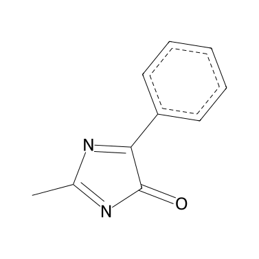 CC1=NC(=O)C(c2ccccc2)=N1